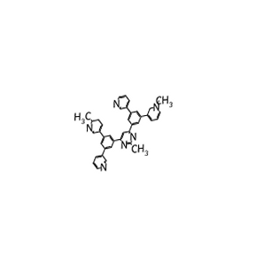 Cc1nc(-c2cc(C3=CCC(C)N=C3)cc(-c3cccnc3)c2)cc(-c2cc(C3=CC=CN(C)C3)cc(-c3cccnc3)c2)n1